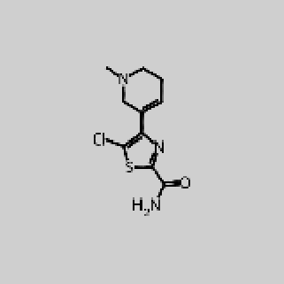 CN1CCC=C(c2nc(C(N)=O)sc2Cl)C1